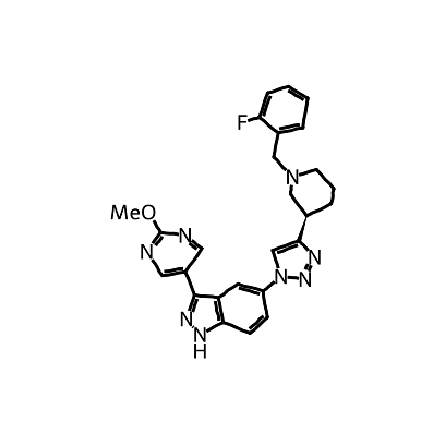 COc1ncc(-c2n[nH]c3ccc(-n4cc([C@@H]5CCCN(Cc6ccccc6F)C5)nn4)cc23)cn1